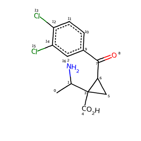 CC(N)C1(C(=O)O)CC1C(=O)c1ccc(Cl)c(Cl)c1